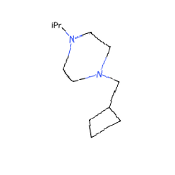 CC(C)N1CCN(CC2CCC2)CC1